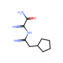 N=C(CC1CCCC1)NC(=N)C(N)=O